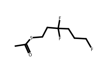 CC(=O)SCCC(F)(F)CCCF